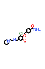 COc1cc(/C=N/CCN2CCCCC2)cc(Cl)c1OCc1ccc(C(N)=O)cc1